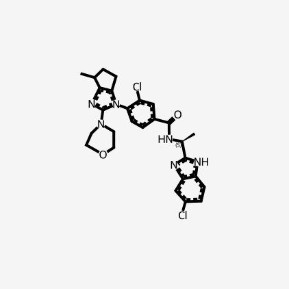 CC1CCc2c1nc(N1CCOCC1)n2-c1ccc(C(=O)N[C@@H](C)c2nc3cc(Cl)ccc3[nH]2)cc1Cl